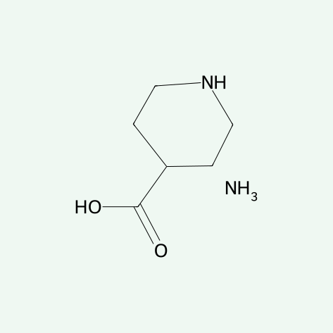 N.O=C(O)C1CCNCC1